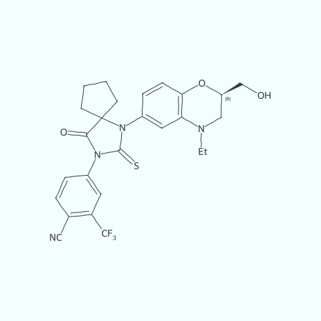 CCN1C[C@H](CO)Oc2ccc(N3C(=S)N(c4ccc(C#N)c(C(F)(F)F)c4)C(=O)C34CCCC4)cc21